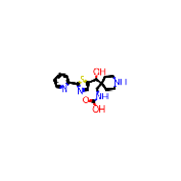 O=C(O)NCC1(C(O)c2cnc(-c3ccccn3)s2)CCNCC1